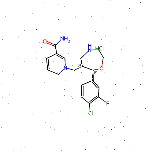 Cl.NC(=O)C1=CN(C[C@@H]2CNCCO[C@H]2c2ccc(Cl)c(F)c2)CC=C1